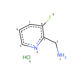 Cl.NCc1ncccc1F